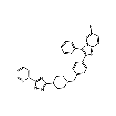 Fc1ccc2nc(-c3ccc(CN4CCC(c5n[nH]c(-c6ccccn6)n5)CC4)cc3)c(-c3ccccc3)n2c1